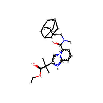 CCOC(=O)C(C)(C)c1cn2c(C(=O)N(C)CC34CC5CC(CC(C5)C3)C4)cccc2n1